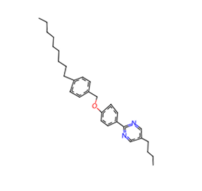 CCCCCCCCCc1ccc(COc2ccc(-c3ncc(CCCC)cn3)cc2)cc1